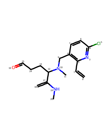 C=Cc1nc(Cl)ccc1CN(C)C(CCC=O)C(=C)NC